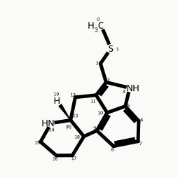 CSCc1[nH]c2cccc3c2c1C[C@H]1NCCCC31